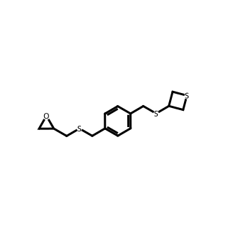 c1cc(CSC2CSC2)ccc1CSCC1CO1